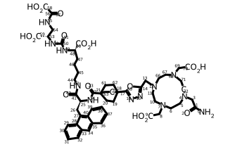 NC(=O)CN1CCN(CC(=O)O)CCN(Cc2nnc(C34CCC(C(=O)N[C@@H](Cc5c6ccccc6cc6ccccc56)C(=O)NCCCC[C@H](NC(=O)N[C@@H](CNC(=O)C(=O)O)C(=O)O)C(=O)O)(CC3)CC4)o2)CCN(CC(=O)O)CC1